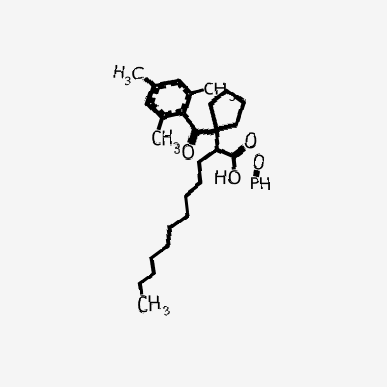 CCCCCCCCCCC(C(=O)O)C1(C(=O)c2c(C)cc(C)cc2C)CCCC1.O=P